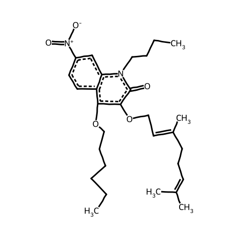 CCCCCCOc1c(OC/C=C(\C)CCC=C(C)C)c(=O)n(CCCC)c2cc([N+](=O)[O-])ccc12